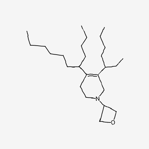 CCCCCCC(CCCC)C1=C(C(CC)CCCC)CN(C2COC2)CC1